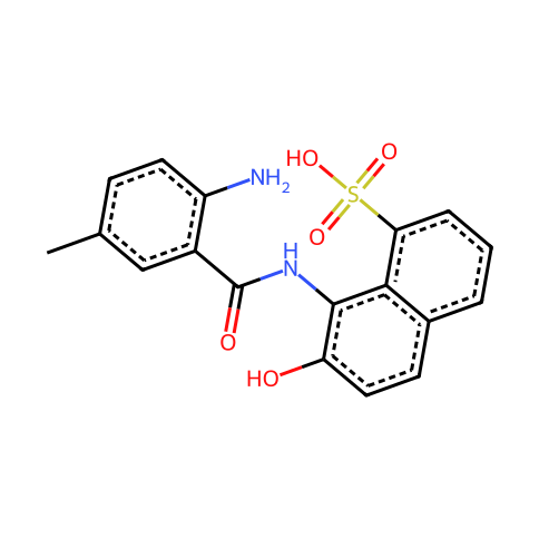 Cc1ccc(N)c(C(=O)Nc2c(O)ccc3cccc(S(=O)(=O)O)c23)c1